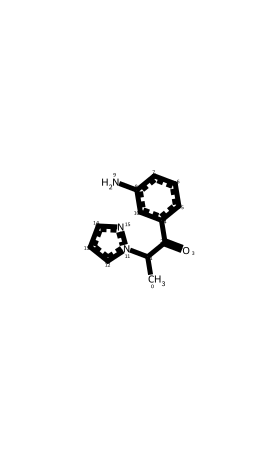 CC(C(=O)c1cccc(N)c1)n1cccn1